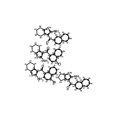 Nc1sc2c(c1C(=O)c1ccc(Br)c3ccccc13)CCCC2.Nc1sc2c(c1C(=O)c1ccc(Cl)c3ccccc13)CCCC2.Nc1sc2c(c1C(=O)c1ccc3ccccc3c1)CCC2.Nc1sc2c(c1C(=O)c1ccc3ccccc3c1)CCCC2